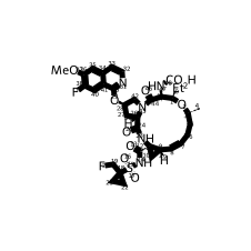 CC[C@@H]1O[C@H](C)CCC=C[C@@H]2C[C@@]2(C(=O)NS(=O)(=O)C2(CF)CC2)NC(=O)[C@@H]2C[C@@H](Oc3nccc4cc(OC)c(F)cc34)CN2C(=O)[C@H]1NC(=O)O